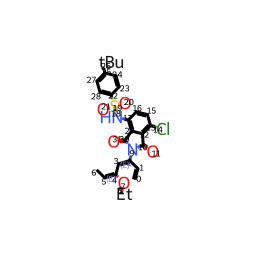 C=C/C(=C\C(=C/C)OCC)N1C(=O)c2c(Cl)ccc(NS(=O)(=O)c3ccc(C(C)(C)C)cc3)c2C1=O